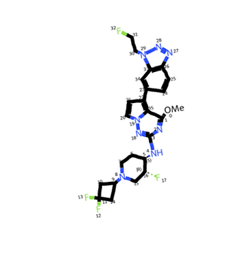 COc1nc(N[C@H]2CCN(C3CC(F)(F)C3)C[C@H]2F)nn2ccc(-c3ccc4nnn(CCF)c4c3)c12